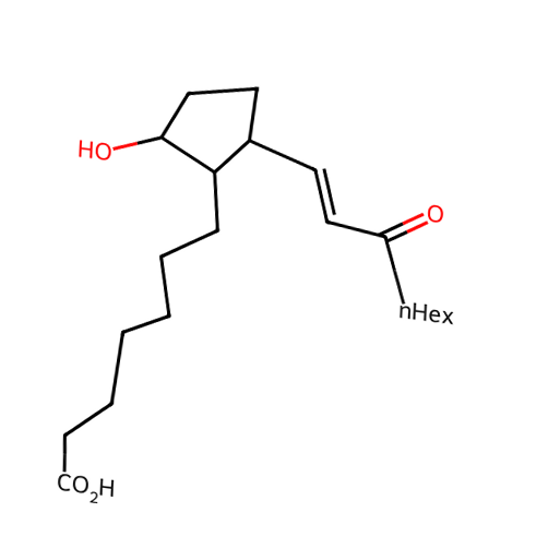 CCCCCCC(=O)C=CC1CCC(O)C1CCCCCCC(=O)O